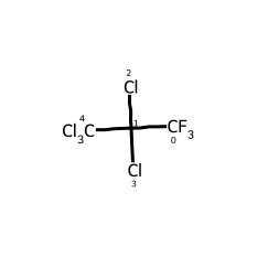 FC(F)(F)C(Cl)(Cl)C(Cl)(Cl)Cl